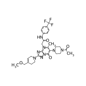 COCC1=CCN(c2nc3n(CC(=O)Nc4ccc(C(F)(F)F)cc4)c(C)c(N4CCN(C(C)=O)CC4)c(=O)n3n2)CC1